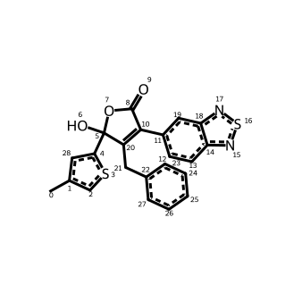 Cc1csc(C2(O)OC(=O)C(c3ccc4nsnc4c3)=C2Cc2ccccc2)c1